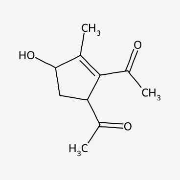 CC(=O)C1=C(C)C(O)CC1C(C)=O